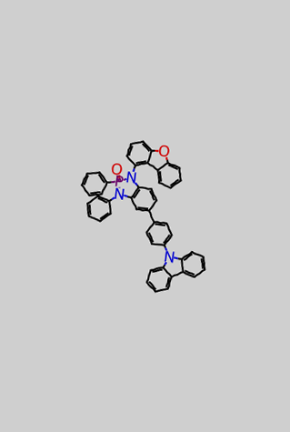 O=P1(c2ccccc2)N(c2ccccc2)c2cc(-c3ccc(-n4c5ccccc5c5ccccc54)cc3)ccc2N1c1cccc2oc3ccccc3c12